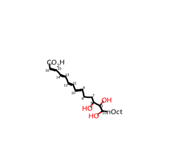 CCCCCCCCC(O)C(O)C(O)CCC=CC=CC=CC=CC(=O)O